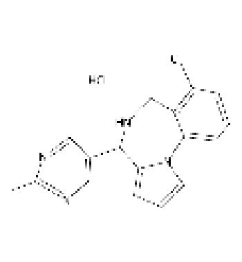 Cc1ncc(C2NCc3c(Cl)cccc3-n3cccc32)cn1.Cl